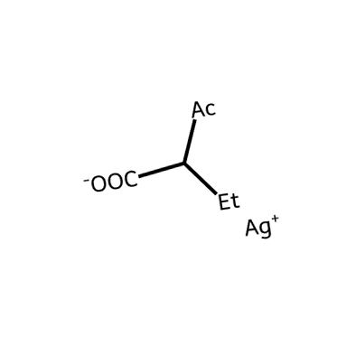 CCC(C(C)=O)C(=O)[O-].[Ag+]